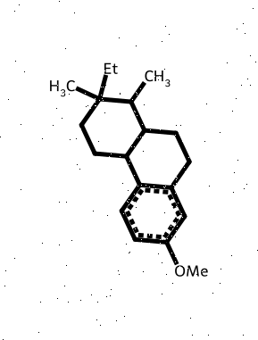 CCC1(C)CCC2c3ccc(OC)cc3CCC2C1C